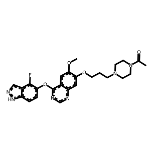 COc1cc2c(Oc3ccc4[nH]ncc4c3F)ncnc2cc1OCCCN1CCN(C(C)=O)CC1